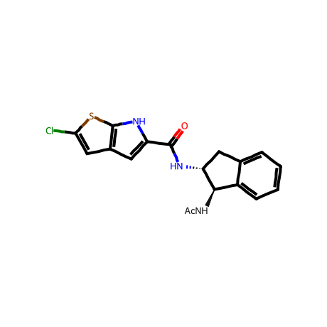 CC(=O)N[C@@H]1c2ccccc2C[C@H]1NC(=O)c1cc2cc(Cl)sc2[nH]1